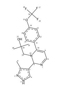 Cc1n[nH]cc1C1N=CC=C(c2ccc(OC(F)(F)F)cc2)N1CC(C)(C)O